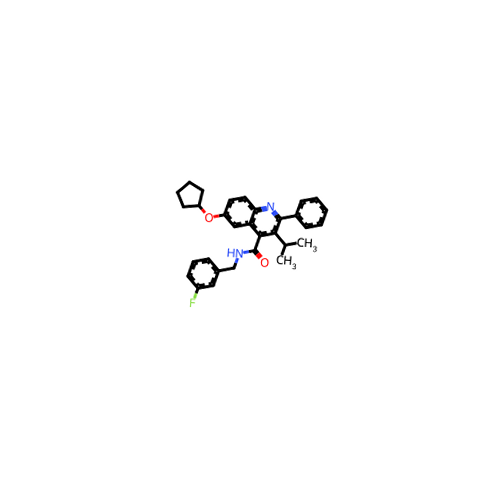 CC(C)c1c(-c2ccccc2)nc2ccc(OC3CCCC3)cc2c1C(=O)NCc1cccc(F)c1